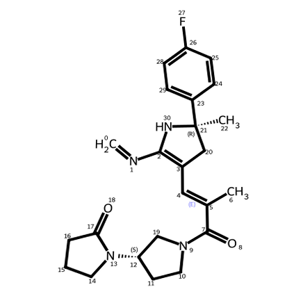 C=NC1=C(/C=C(\C)C(=O)N2CC[C@H](N3CCCC3=O)C2)C[C@](C)(c2ccc(F)cc2)N1